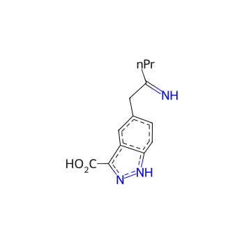 CCCC(=N)Cc1ccc2[nH]nc(C(=O)O)c2c1